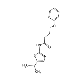 CC(C)c1cnc(NC(=O)CCCOc2ccccc2)s1